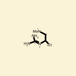 CCC(CNC)N=C(N)N